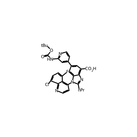 CCCc1nc2c(C(=O)O)cc(-c3ccnc(NC(=O)OC(C)(C)C)c3)cc2n1-c1ccnc2c(Cl)ccc(F)c12